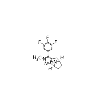 Cn1nc2c(c1-c1cc(F)c(F)c(F)c1)C[C@H]1CC[C@@H]2N1